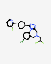 Fc1cccnc1[C@H]1CC[C@H](c2nnc3n2-c2ccc(Cl)cc2CN(CC(F)F)C3)CC1